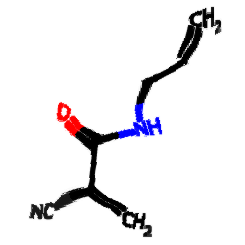 C=CCNC(=O)C(=C)C#N